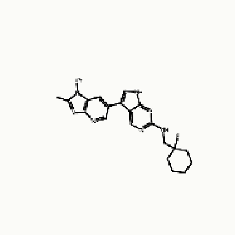 Cc1nc2ncc(-c3c[nH]c4nc(NCC5(F)CCCCC5)ncc34)cc2n1C(C)C